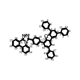 c1ccc(-c2cc(-c3ccccc3)c3oc4c(-c5ccc(-c6nnc7c8ccccc8c8ccccc8n67)cc5)cc(-c5ccccc5)cc4c3c2)cc1